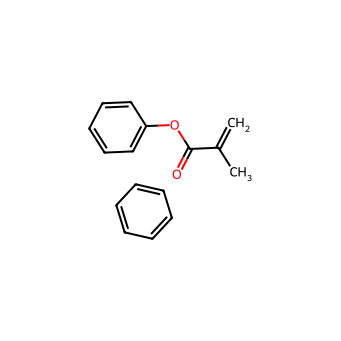 C=C(C)C(=O)Oc1ccccc1.c1ccccc1